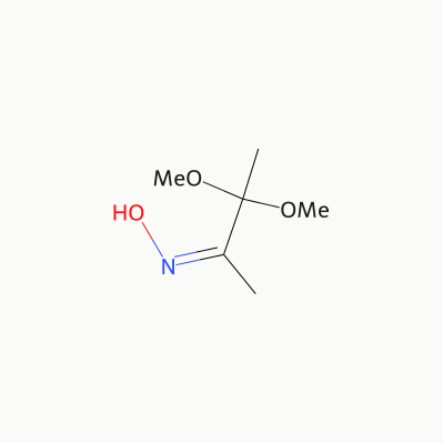 COC(C)(OC)/C(C)=N\O